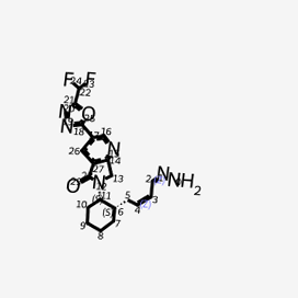 N/N=C\C=C/C[C@@H]1CCCC[C@@H]1N1Cc2ncc(-c3nnc(C(F)F)o3)cc2C1=O